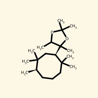 CC1OC(C)(C)OC1(C)[C@@H]1CC(C)(C)[C@H](C)CCCC1(C)C